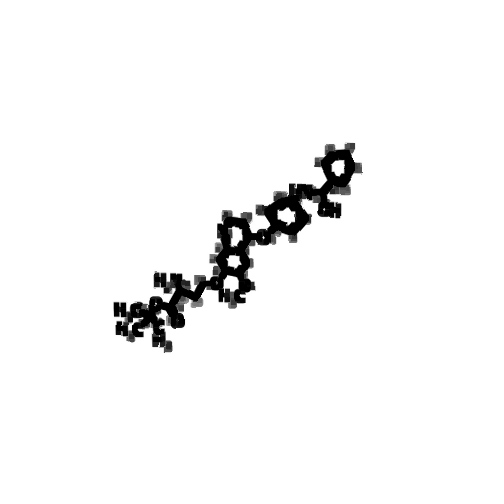 COc1cc2c(Oc3ccc(NC(O)c4ccccc4)cc3)ccnc2cc1OCC[C@H](N)C(=O)OC(C)(C)C